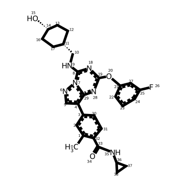 Cc1cc(-c2cnn3c(NC[C@H]4CC[C@@H](O)CC4)nc(Oc4cccc(F)c4)nc23)ccc1C(=O)NC1CC1